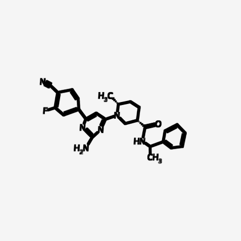 CC(NC(=O)[C@H]1CC[C@@H](C)N(c2cc(-c3ccc(C#N)c(F)c3)nc(N)n2)C1)c1ccccc1